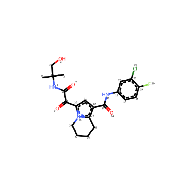 CC(C)(CO)NC(=O)C(=O)c1cc(C(=O)Nc2ccc(F)c(Cl)c2)c2n1CCCC2